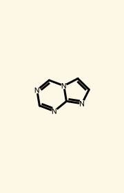 c1cn2cncnc2n1